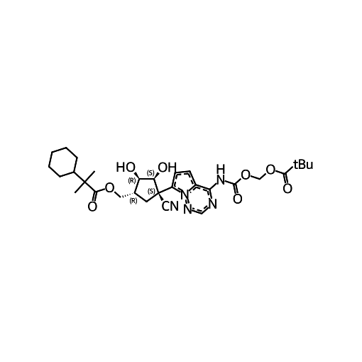 CC(C)(C)C(=O)OCOC(=O)Nc1ncnn2c([C@]3(C#N)C[C@H](COC(=O)C(C)(C)C4CCCCC4)[C@@H](O)[C@H]3O)ccc12